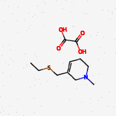 CCSCC1=CCCN(C)C1.O=C(O)C(=O)O